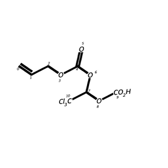 C=CCOC(=O)OC(OC(=O)O)C(Cl)(Cl)Cl